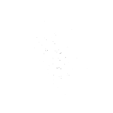 c1ccc(-c2cc(N3[Si](c4ccccc4)(c4ccccc4)N(c4nc(-c5ccccc5)nc(-n5c6ccccc6c6ccccc65)n4)[Si]3(c3ccccc3)c3ccccc3)nc(-n3c4ccccc4c4ccccc43)n2)cc1